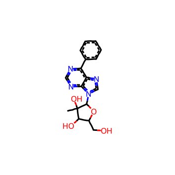 CC1(O)C(O)C(CO)OC1n1cnc2c(-c3ccccc3)ncnc21